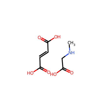 CNCC(=O)O.O=C(O)/C=C/C(=O)O